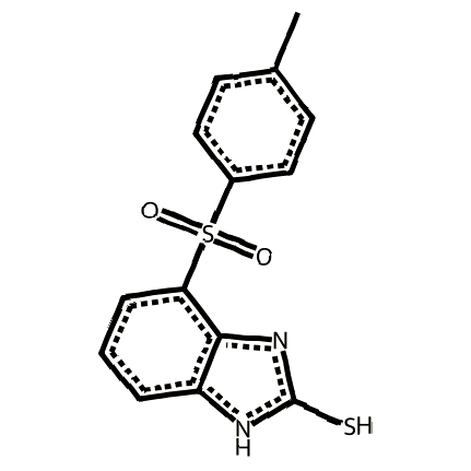 Cc1ccc(S(=O)(=O)c2cccc3[nH]c(S)nc23)cc1